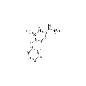 CC(C)(C)Nc1ccn(Cc2ccccc2)c(=O)n1